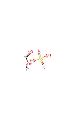 O=CO.O=S(=O)(O)O.[Fe]